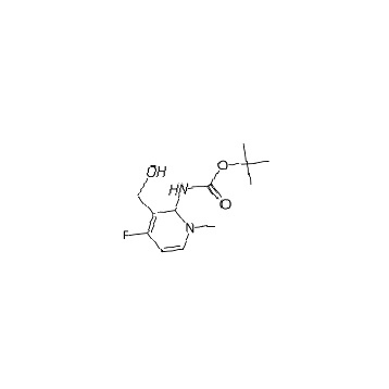 CN1C=CC(F)=C(CO)C1NC(=O)OC(C)(C)C